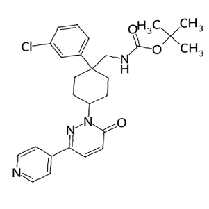 CC(C)(C)OC(=O)NCC1(c2cccc(Cl)c2)CCC(n2nc(-c3ccncc3)ccc2=O)CC1